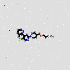 COCCOCC1CCN(c2cc(-c3ncccc3C)c(Cl)cn2)CC1